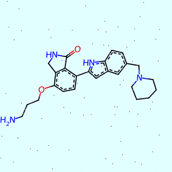 NCCCOc1ccc(-c2cc3cc(CN4CCCCC4)ccc3[nH]2)c2c1CNC2=O